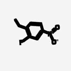 CCc1ccc([N+](=O)[O-])cc1F